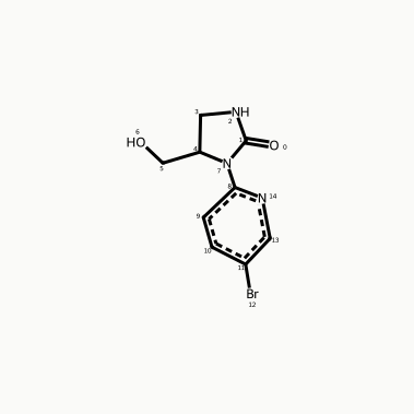 O=C1NCC(CO)N1c1ccc(Br)cn1